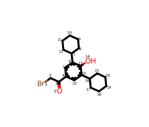 O=C(CBr)c1cc(C2CCCCC2)c(O)c(C2CCCCC2)c1